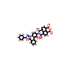 O=C1OC(=O)c2ccc3c4c(ccc1c24)C(=O)N(c1cccc(-c2ccccc2-c2nnc(-c4ccccc4)o2)c1O)C3=O